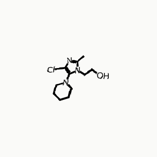 Cc1nc(Cl)c(N2CCCCC2)n1CCO